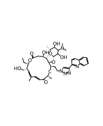 CC[C@H]1OC(=O)C[C@@H](O)[C@H](C)[C@@H](O[C@@H]2O[C@H](C)[C@@H](O)C(N(C)C)C2O)[C@@H](CCn2cc(-c3ccc4ccccc4n3)nn2)C[C@@H](C)C(=O)/C=C/C(C)=C/[C@@H]1CO